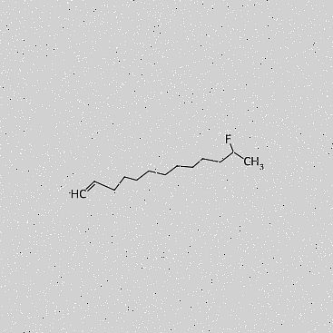 [CH]=CCCCCCCCCCC(C)F